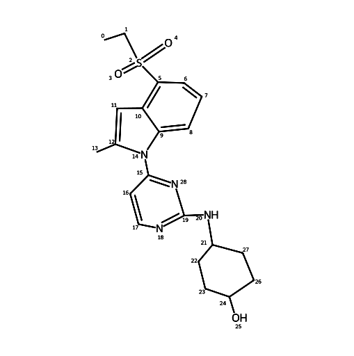 CCS(=O)(=O)c1cccc2c1cc(C)n2-c1ccnc(NC2CCC(O)CC2)n1